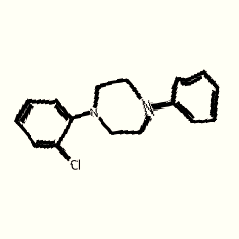 Clc1ccccc1N1CCN(c2ccccc2)CC1